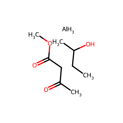 CCC(C)O.COC(=O)CC(C)=O.[AlH3]